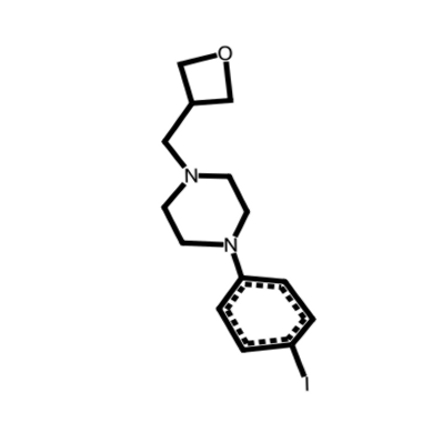 Ic1ccc(N2CCN(CC3COC3)CC2)cc1